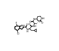 NC(=O)C(C[C@@H]1CCCNC1=O)NC(=O)C(CC1CC1)NC(=O)c1cc2c(Cl)ccc(F)c2[nH]1